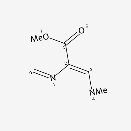 C=N/C(=C\NC)C(=O)OC